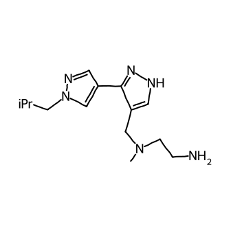 CC(C)Cn1cc(-c2n[nH]cc2CN(C)CCN)cn1